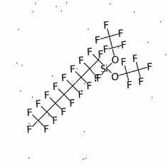 FC(F)(F)C(F)(F)O[Si](F)(OC(F)(F)C(F)(F)F)C(F)(F)C(F)(F)C(F)(F)C(F)(F)C(F)(F)C(F)(F)C(F)(F)C(F)(F)F